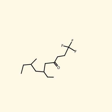 CCC(C)CC(CC)CC(=O)CCC(F)(F)F